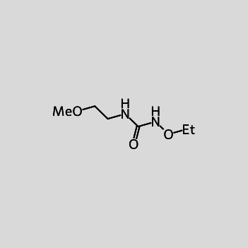 CCONC(=O)NCCOC